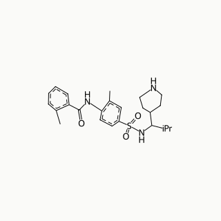 Cc1cc(S(=O)(=O)NC(C(C)C)C2CCNCC2)ccc1NC(=O)c1ccccc1C